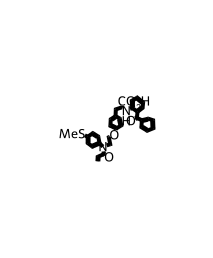 C=CC(=O)N(CCOc1ccc(CC(Nc2ccccc2C(=O)c2ccccc2)C(=O)O)cc1)c1ccc(SC)cc1